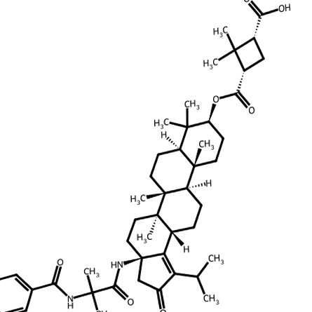 CC(C)C1=C2[C@H]3CC[C@@H]4[C@@]5(C)CC[C@H](OC(=O)[C@H]6C[C@@H](C(=O)O)C6(C)C)C(C)(C)[C@@H]5CC[C@@]4(C)[C@]3(C)CC[C@@]2(NC(=O)C(C)(C)NC(=O)c2ccccc2)CC1=O